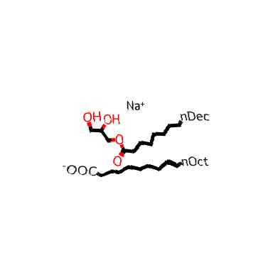 CCCCCCCCC=CCCCCCCCC(=O)[O-].CCCCCCCCCCCCCCCCCC(=O)OCC(O)CO.[Na+]